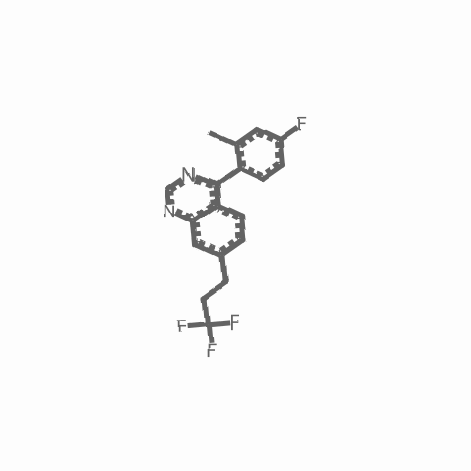 Cc1cc(F)ccc1-c1ncnc2cc(CCC(F)(F)F)ccc12